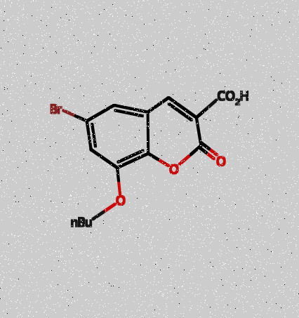 CCCCOc1cc(Br)cc2cc(C(=O)O)c(=O)oc12